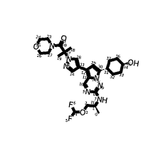 C[C@@H](COC(F)F)Nc1ncc2c(-c3cnn(C(C)(C)C(=O)N4CCOCC4)c3)cc([C@H]3CC[C@H](O)CC3)n2n1